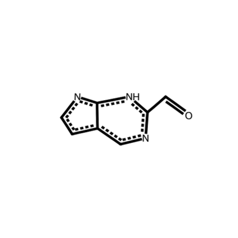 O=Cc1ncc2ccnc-2[nH]1